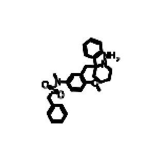 COc1ccc(N(C)S(=O)(=O)Cc2ccccc2)cc1CC1(c2ccccc2)CCCCN1N